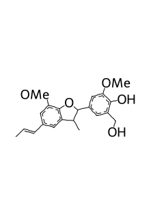 C/C=C/c1cc(OC)c2c(c1)C(C)C(c1cc(CO)c(O)c(OC)c1)O2